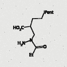 CCCC(C)CCC(CN(N)C(=O)CC)C(=O)O